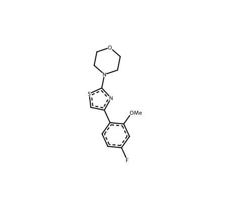 COc1cc(F)ccc1-c1csc(N2CCOCC2)n1